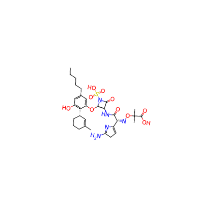 CCCCCc1cc(O)c([C@@H]2C=C(C)CCC2)c(OC2[C@H](NC(=O)/C(=N\OC(C)(C)C(=O)O)C3=CCC(N)=N3)C(=O)N2S(=O)(=O)O)c1